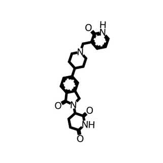 O=C1CCC(N2Cc3cc(C4CCN(Cc5ccc[nH]c5=O)CC4)ccc3C2=O)C(=O)N1